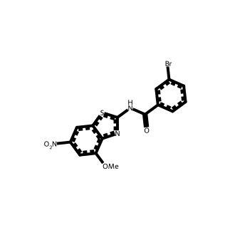 COc1cc([N+](=O)[O-])cc2sc(NC(=O)c3cccc(Br)c3)nc12